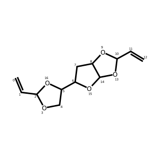 C=CC1OCC(C2CC3OC(C=C)OC3O2)O1